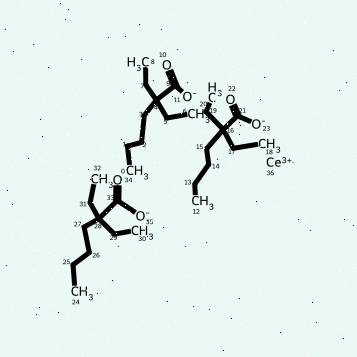 CCCCC(CC)(CC)C(=O)[O-].CCCCC(CC)(CC)C(=O)[O-].CCCCC(CC)(CC)C(=O)[O-].[Ce+3]